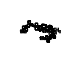 CC(CCC(=O)OCC(=O)OC(C)(C)C)C1CCC2C3CCC4CC(OC(=O)CCC(=O)OCC(=O)OC(C)(C)C)CCC4(C)C3CCC12C